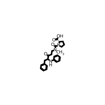 CN(CCC(=O)C(Cc1ccccc1)Nc1ccccc1)C(=O)N1CCC[C@H]1C(=O)O